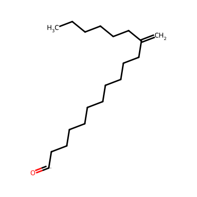 C=C(CCCCCC)CCCCCCCCCC[C]=O